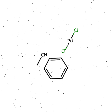 CC#N.[Cl][Pd][Cl].c1ccccc1